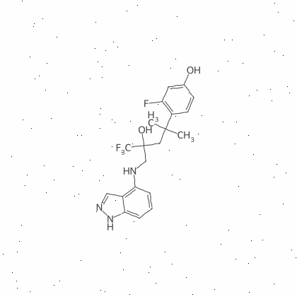 CC(C)(CC(O)(CNc1cccc2[nH]ncc12)C(F)(F)F)c1ccc(O)cc1F